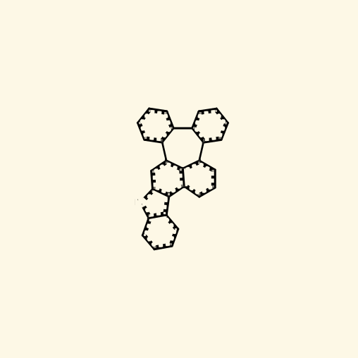 c1ccc2c(c1)-c1ccccc1-c1cc3[nH]c4ccccc4c3c3cccc-2c13